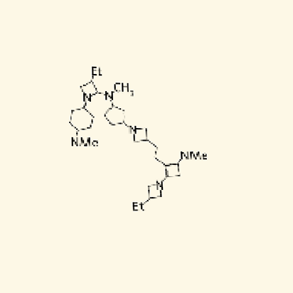 CCC1CN(C2CC(NC)C2CCC2CN(C3CCC(N(C)C4C(CC)CN4C4CCC(NC)CC4)C3)C2)C1